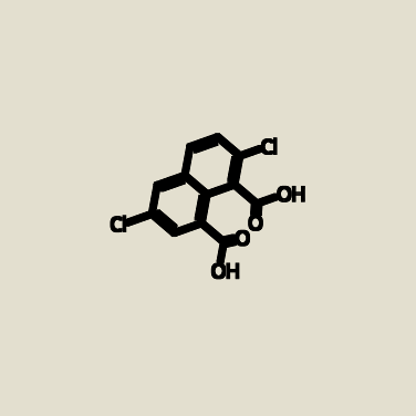 O=C(O)c1cc(Cl)cc2ccc(Cl)c(C(=O)O)c12